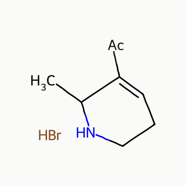 Br.CC(=O)C1=CCCNC1C